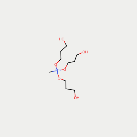 C[N+](OCCCO)(OCCCO)OCCCO